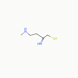 CNCCC(=N)CS